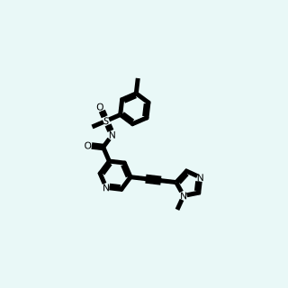 Cc1cccc(S(C)(=O)=NC(=O)c2cncc(C#Cc3cncn3C)c2)c1